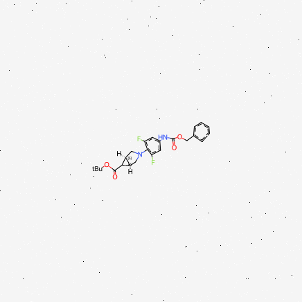 CC(C)(C)OC(=O)C1[C@H]2CN(c3c(F)cc(NC(=O)OCc4ccccc4)cc3F)C[C@@H]12